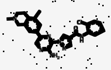 Cc1cc(-c2cnc(N)c(-n3cc(C(=O)Nc4ccccc4Cl)cn3)n2)cc2c1CCN(C)C2